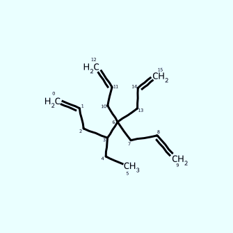 C=CCC(CC)C(CC=C)(CC=C)CC=C